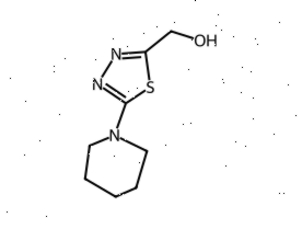 OCc1nnc(N2CCCCC2)s1